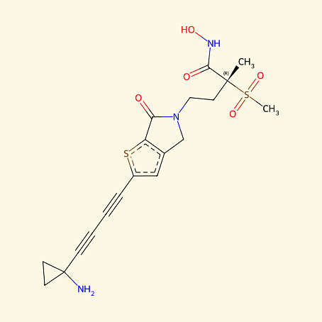 C[C@@](CCN1Cc2cc(C#CC#CC3(N)CC3)sc2C1=O)(C(=O)NO)S(C)(=O)=O